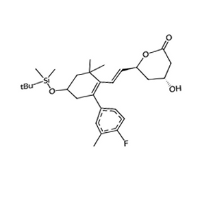 Cc1cc(C2=C(/C=C/[C@@H]3C[C@@H](O)CC(=O)O3)C(C)(C)CC(O[Si](C)(C)C(C)(C)C)C2)ccc1F